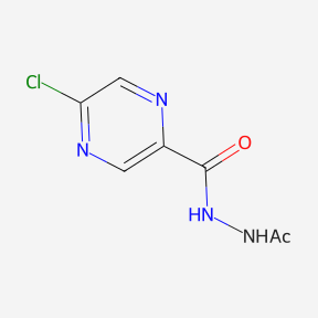 CC(=O)NNC(=O)c1cnc(Cl)cn1